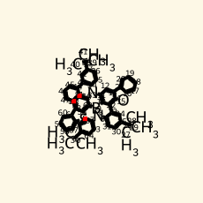 CC(C)(C)c1ccc(N2B3c4c(cc5c(oc6ccccc65)c4-c4cc(C(C)(C)C)ccc42)N(c2ccc(C(C)(C)C)cc2-c2ccccc2)c2ccc4c(sc5ccccc54)c23)cc1